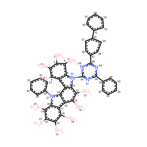 Bc1c(B)c(B)c2c(c1B)c1c(c(B)c(B)c3c4c(B)c(B)c(B)c(B)c4n(-c4ccccc4)c31)n2-c1nc(-c2ccccc2)nc(-c2ccc(-c3ccccc3)cc2)n1